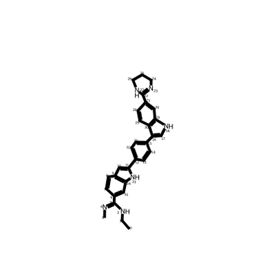 CCN/C(=N\C)c1ccc2cc(-c3ccc(-c4c[nH]c5cc(C6=NCCCN6)ccc45)cc3)[nH]c2c1